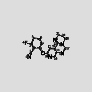 N#Cc1c(F)cccc1Oc1cc2c(cn1)N=CN1CCCN=C21